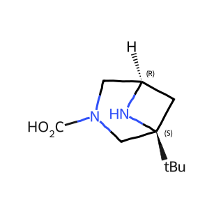 CC(C)(C)[C@@]12C[C@H](CN(C(=O)O)C1)N2